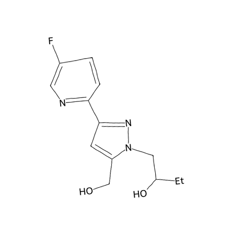 CCC(O)Cn1nc(-c2ccc(F)cn2)cc1CO